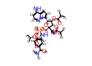 CC(C)OC(=O)[C@H](C)N[P@](=O)(OC[C@@]1(C#N)O[C@@H](c2ccc3c(N)ccnn23)[C@H](OC(=O)C(C)C)[C@@H]1OC(=O)C(C)C)Oc1ccc(C(=O)N(C)C)cc1